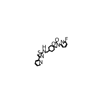 O=C1OC2(CCC(CNc3nc(-c4ccccn4)cs3)CC2)CN1c1cccc(F)n1